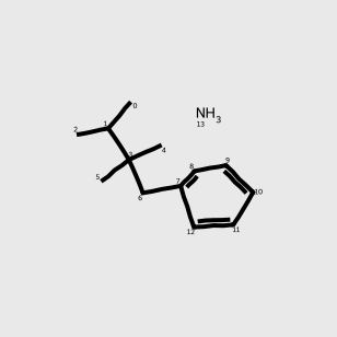 CC(C)C(C)(C)Cc1ccccc1.N